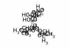 C#C[C@@]1(O)C(O)[C@@H](COP(=O)(OCOC(=O)C(C)(C)C)OCOC(=O)C(C)(C)C)O[C@H]1n1ccc(=O)[nH]c1=O